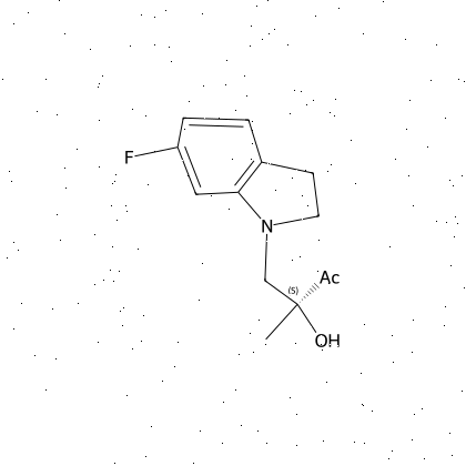 CC(=O)[C@@](C)(O)CN1CCc2ccc(F)cc21